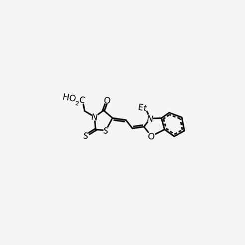 CCN1C(=CC=C2SC(=S)N(CC(=O)O)C2=O)Oc2ccccc21